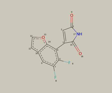 O=C1C=C(c2c(F)c(F)cc3ccoc23)C(=O)N1